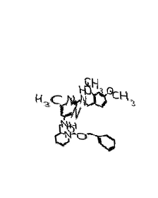 COc1ccc(CNc2nc(C)cc(NCC3CCCCN3C(=O)OCc3ccccc3)n2)c(OC)c1